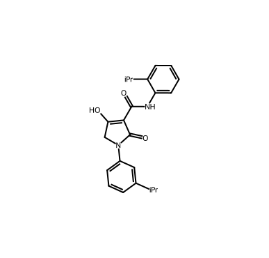 CC(C)c1cccc(N2CC(O)=C(C(=O)Nc3ccccc3C(C)C)C2=O)c1